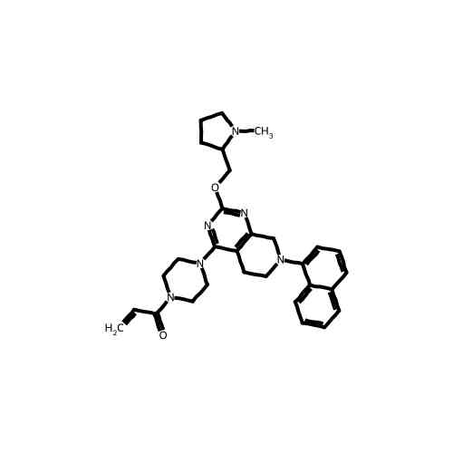 C=CC(=O)N1CCN(c2nc(OCC3CCCN3C)nc3c2CCN(c2cccc4ccccc24)C3)CC1